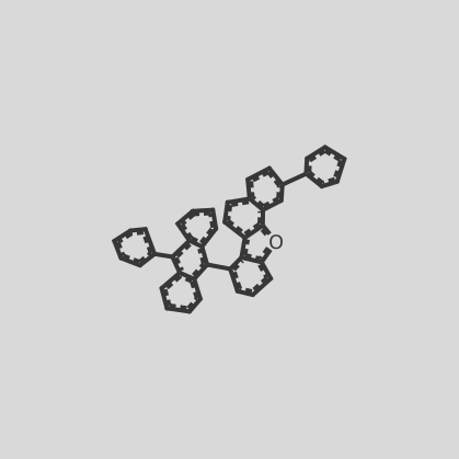 c1ccc(-c2ccc3ccc4c(oc5cccc(-c6c7ccccc7c(-c7ccccc7)c7ccccc67)c54)c3c2)cc1